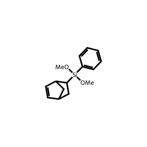 CO[Si](OC)(c1ccccc1)C1CC2C=CC1C2